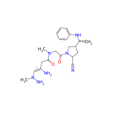 C=C(Nc1ccccc1)C1CC(C#N)N(C(=O)CN(C)C(=O)C/C(N)=C/N(C)N)C1